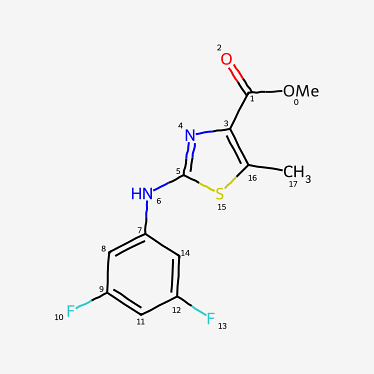 COC(=O)c1nc(Nc2cc(F)cc(F)c2)sc1C